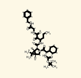 CCCC(NC(=O)[C@@H]1[C@@H]2[C@H](CN1C(=O)[C@@H](NC(=O)OC(C)(C)C)C1CCCCC1)C2(C)C)C(=O)C(=O)NCC(=O)NCc1ccccc1